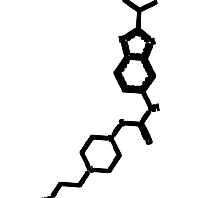 CC(C)c1nc2ccc(NC(=O)SN3CCN(CCO)CC3)cc2s1